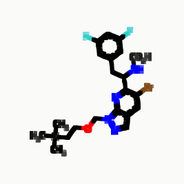 C[Si](C)(C)CCOCn1ncc2cc(Br)c(C(Cc3cc(F)cc(F)c3)NC(=O)O)nc21